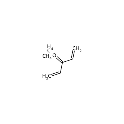 C.C.C=CC(=O)C=C